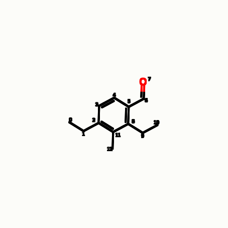 CCc1ccc(C=O)c(CC)c1C